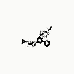 CCOC(=O)Nc1nc2cc(-n3cnc(C(=O)NC4CC4)c3)cc(-c3ccccn3)c2[nH]1